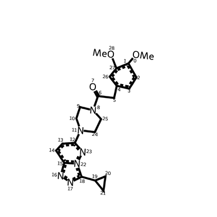 COc1ccc(CC(=O)N2CCN(c3ccc4nnc(C5CC5)n4n3)CC2)cc1OC